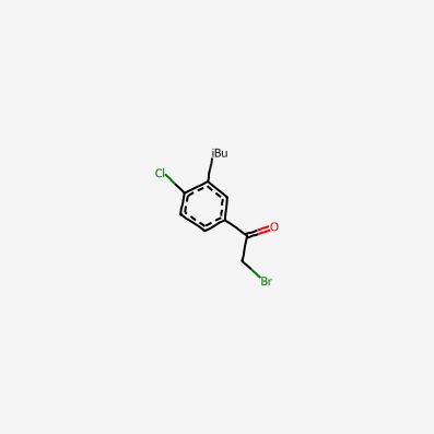 CCC(C)c1cc(C(=O)CBr)ccc1Cl